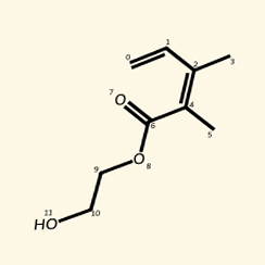 C=CC(C)=C(C)C(=O)OCCO